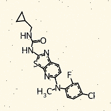 CN(c1ccc2nc(NC(=O)NCC3CC3)sc2n1)c1ccc(Cl)cc1F